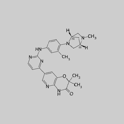 Cc1cc(Nc2nccc(-c3cnc4c(c3)OC(C)(C)C(=O)N4)n2)ccc1N1C[C@@H]2C[C@H]1CN2C